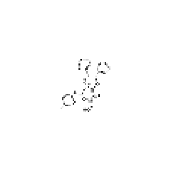 Cc1ccc(S[C@@H]2O[C@H](CO)[C@@H](O)[C@H](OCc3ccccc3)[C@H]2OCc2ccccc2)cc1